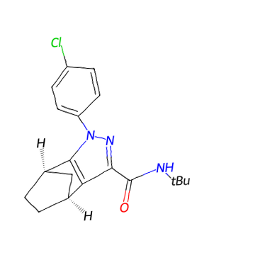 CC(C)(C)NC(=O)c1nn(-c2ccc(Cl)cc2)c2c1[C@H]1CC[C@@H]2C1